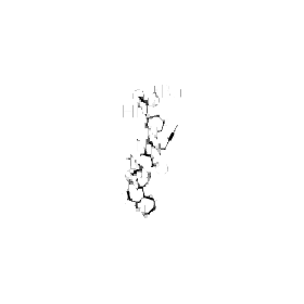 CC#CCn1c(N2CCCC(NC(=O)OC(C)(C)C)C2)nc2c1c(=O)n(Cc1nccc3ncccc13)c(=O)n2C